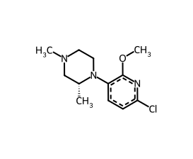 COc1nc(Cl)ccc1N1CCN(C)C[C@H]1C